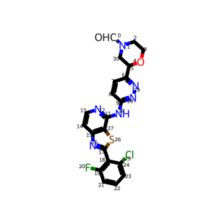 O=CN1CCOC(c2ccc(Nc3nccc4nc(-c5c(F)cccc5Cl)sc34)nn2)C1